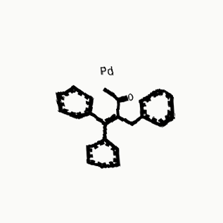 CC(=O)C(Cc1ccccc1)=C(c1ccccc1)c1ccccc1.[Pd]